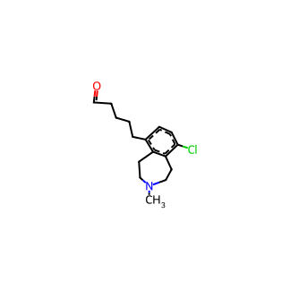 CN1CCc2c(Cl)ccc(CCCCC=O)c2CC1